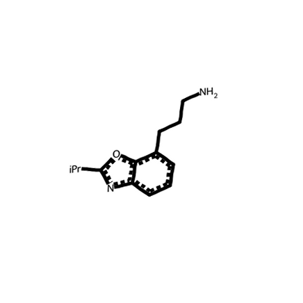 CC(C)c1nc2cccc(CCCN)c2o1